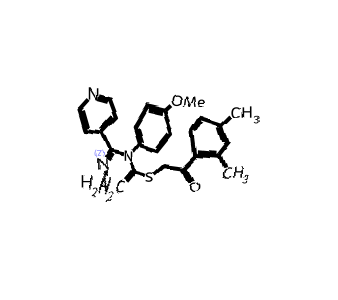 C=C(SCC(=O)c1ccc(C)cc1C)N(/C(=N\N)c1ccncc1)c1ccc(OC)cc1